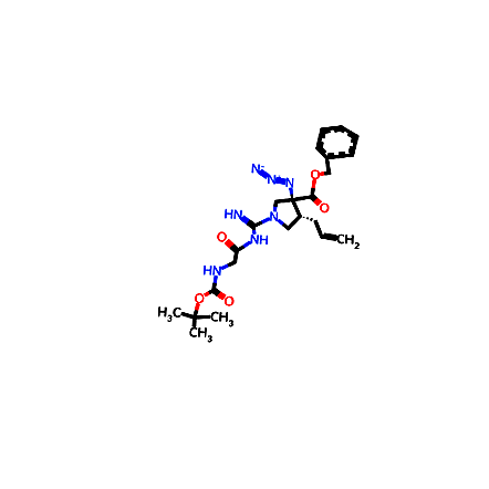 C=CC[C@@H]1CN(C(=N)NC(=O)CNC(=O)OC(C)(C)C)C[C@]1(N=[N+]=[N-])C(=O)OCc1ccccc1